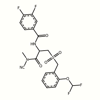 CN(C#N)C(=O)C(CS(=O)(=O)Cc1ccccc1OC(F)F)NC(=O)c1ccc(F)c(F)c1